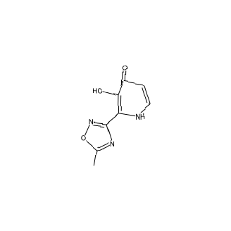 Cc1nc(-c2[nH]ccc(=O)c2O)no1